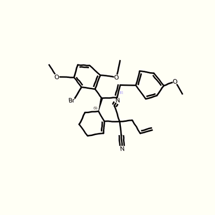 C=CCC(C#N)(C#N)C1=CCCC[C@H]1C(/C=C/c1ccc(OC)cc1)c1c(OC)ccc(OC)c1Br